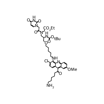 CCOC(=O)CN(CC(COCCCCCNc1c(Cl)ccc2c(C(=O)CCCCCN)c3cc(OC)ccc3nc12)NC(=O)OC(C)(C)C)C(=O)Cn1ccc(=O)[nH]c1=O